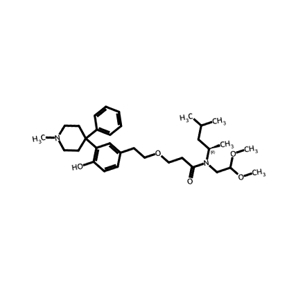 COC(CN(C(=O)CCOCCc1ccc(O)c(C2(c3ccccc3)CCN(C)CC2)c1)[C@H](C)CC(C)C)OC